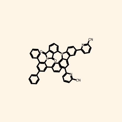 N#Cc1cccc(-c2ccc3c(c2)c2cc(-c4cccc(C#N)n4)ccc2n3-c2cccc3c2C(=O)N(c2c(-c4ccccc4)cc(-c4ccccc4)cc2-c2ccccc2)C3=O)n1